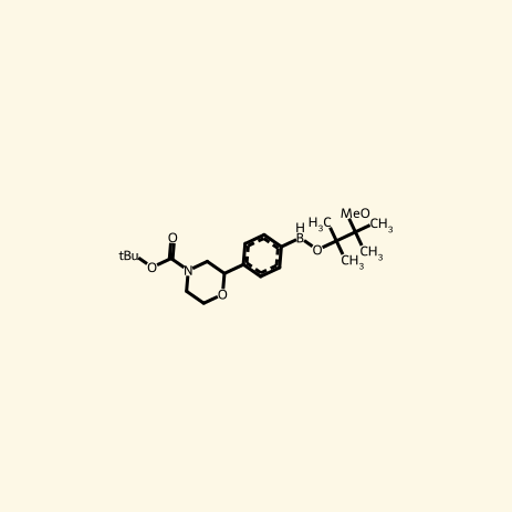 COC(C)(C)C(C)(C)OBc1ccc(C2CN(C(=O)OC(C)(C)C)CCO2)cc1